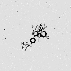 CC(C)O[C@H]1CC[C@H](C2=c3[nH]c4c(c3CN=N2)N(S(=O)(=O)N(C)C)CC=C(Cl)C=4)CC1